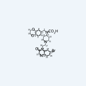 O=C(O)N(Cc1ccc2c(c1)OCCO2)C1CCN(CCn2c(=O)cnc3ccc(Br)cc32)CC1